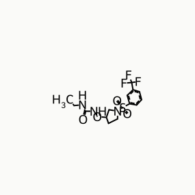 CCNC(=O)NOC1CCN(S(=O)(=O)c2cccc(C(F)(F)F)c2)C1